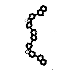 c1ccc2cc(-c3ccc4oc5ccc(-c6ccc7ccc(-c8ccc9oc%10ccc(-c%11ccc%12ccccc%12c%11)cc%10c9c8)cc7c6)cc5c4c3)ccc2c1